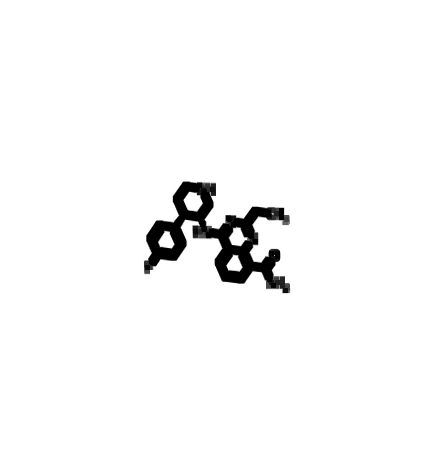 CCc1nc(N[C@H]2CNCC[C@@H]2c2ccc(F)cc2)c2cccc(C(N)=O)c2n1